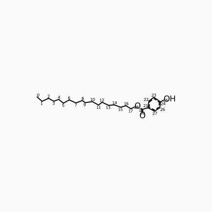 CCCCCCCCCCCCCCCCCCOC(=O)c1ccc(O)cc1